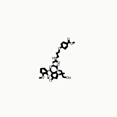 COC(=O)c1ccc(OCCCNC(=O)C[C@H]2O[C@H](c3cccc(OC)c3OC)c3cc(Cl)ccc3N(CC(C)(C)CO)C2=O)cc1